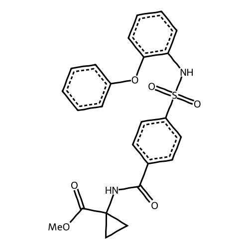 COC(=O)C1(NC(=O)c2ccc(S(=O)(=O)Nc3ccccc3Oc3ccccc3)cc2)CC1